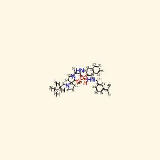 [3H]C([3H])C([3H])([3H])CN1CCCC12CCN(C(C)C(=O)N[C@@H](Cc1ccccc1)[C@H](O)CNCc1cccc(C(C)C)c1)C2=O